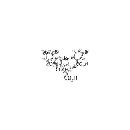 O=C(O)c1cccc(Br)c1.O=C(O)c1cccc(Br)c1.O=C(O)c1cccc(Br)c1.O=C(O)c1cccc(Br)c1.[Pb]